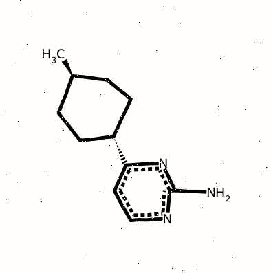 C[C@H]1CC[C@H](c2ccnc(N)n2)CC1